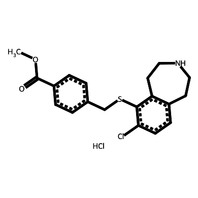 COC(=O)c1ccc(CSc2c(Cl)ccc3c2CCNCC3)cc1.Cl